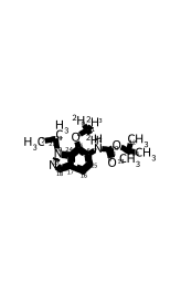 [2H]C([2H])([2H])Oc1c(NC(=O)OC(C)(C)C)ccc2cnn(C(C)C)c12